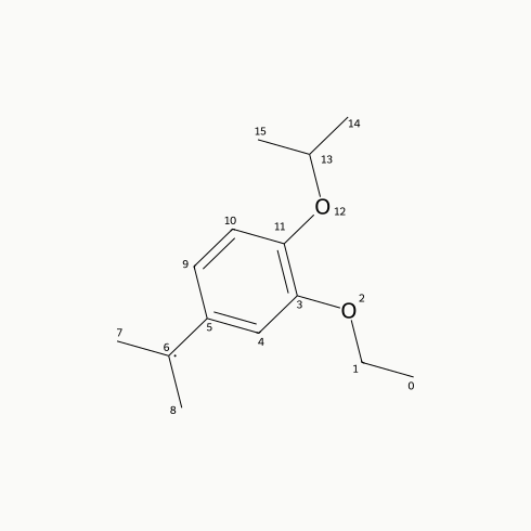 CCOc1cc([C](C)C)ccc1OC(C)C